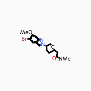 CNC(=O)CC1CCC(n2cc3cc(Br)c(OC)cc3n2)CC1